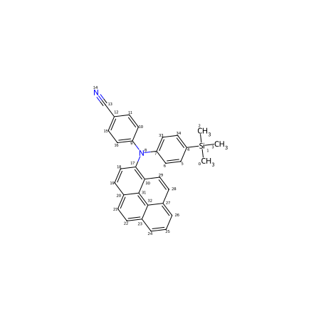 C[Si](C)(C)c1ccc(N(c2ccc(C#N)cc2)c2ccc3ccc4cccc5ccc2c3c45)cc1